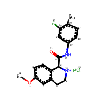 CCOc1ccc2c(c1)CCNC2C(=O)Nc1ccc(C(C)(C)C)c(F)c1.Cl